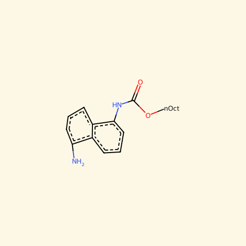 CCCCCCCCOC(=O)Nc1cccc2c(N)cccc12